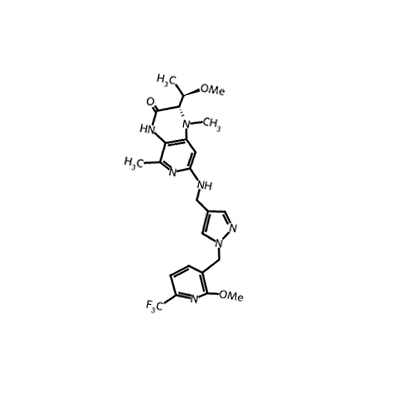 COc1nc(C(F)(F)F)ccc1Cn1cc(CNc2cc3c(c(C)n2)NC(=O)[C@H]([C@@H](C)OC)N3C)cn1